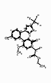 CCOC(=O)C(F)n1cc(OC)c(-c2cc(Cl)ccc2-n2cc(C(F)(F)F)nn2)cc1=O